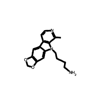 Cc1nccc2c3cc4c(cc3n(CCCCN)c12)OCO4